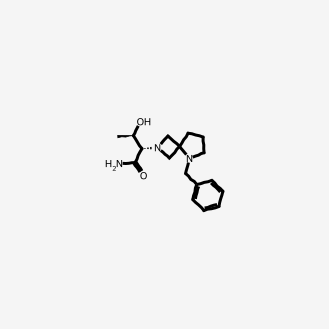 C[C@@H](O)[C@@H](C(N)=O)N1CC2(CCCN2Cc2ccccc2)C1